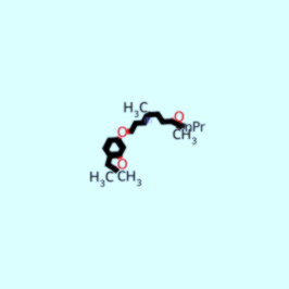 CCCC1(C)OC1CC/C(C)=C/CCOc1ccc2c(c1)OC(C)(C)C2